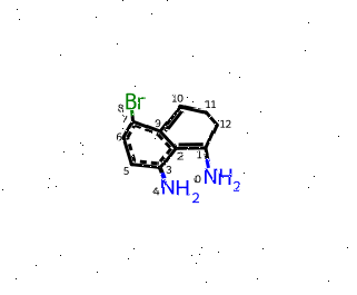 NC1=c2c(N)ccc(Br)c2=CCC1